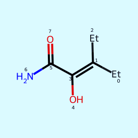 CCC(CC)=C(O)C(N)=O